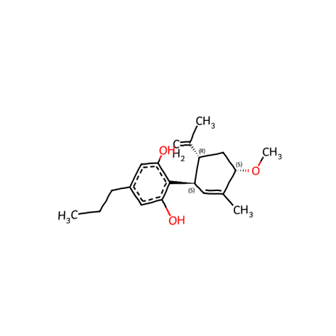 C=C(C)[C@@H]1C[C@H](OC)C(C)=C[C@H]1c1c(O)cc(CCC)cc1O